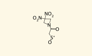 O=[S+]CC(=O)N1CC([N+](=O)[O-])([N+](=O)[O-])C1